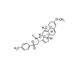 [C-]#[N+]C(CS(=O)(=O)c1ccc(C)cc1)C1=CC[C@H]2[C@@H]3CC=C4C=C(OC)CC[C@]4(C)C3=CC[C@]12C